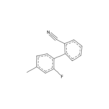 Cc1ccc(-c2ccccc2C#N)c(F)c1